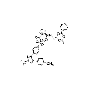 Cc1ccc(-c2cc(C(F)(F)F)nn2-c2ccc(S(=O)(=O)NC(=O)[C@@H]3CCCN3[N+]([O-])=NOC(C)OC(=O)c3ccccc3)cc2)cc1